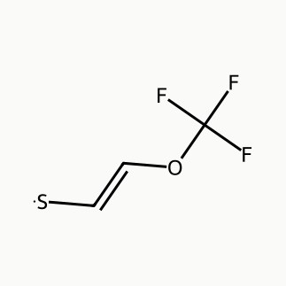 FC(F)(F)OC=C[S]